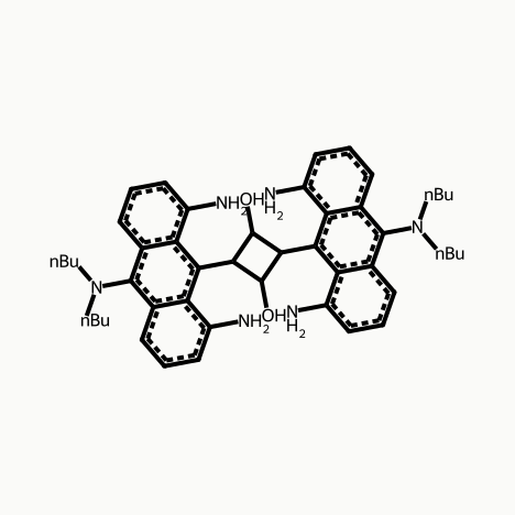 CCCCN(CCCC)c1c2cccc(N)c2c(C2C(O)C(c3c4c(N)cccc4c(N(CCCC)CCCC)c4cccc(N)c34)C2O)c2c(N)cccc12